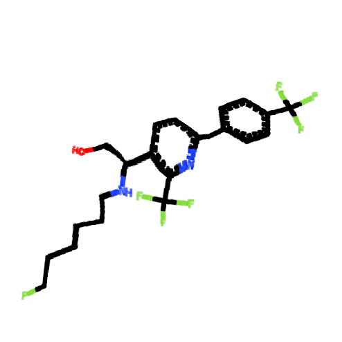 OC[C@H](NCCCCCCF)c1ccc(-c2ccc(C(F)(F)F)cc2)nc1C(F)(F)F